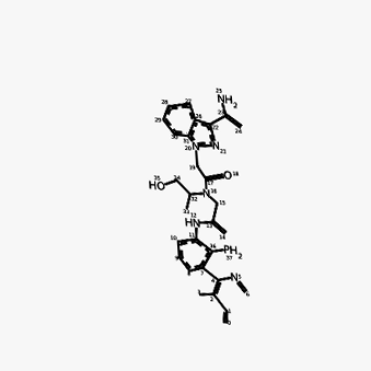 C=C/C(C)=C(\N=C)c1cccc(NC(=C)CN(C(=O)Cn2nc(C(=C)N)c3ccccc32)C(C)CO)c1P